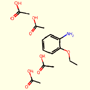 CC(=O)O.CC(=O)O.CC(=O)O.CC(=O)O.CCOc1ccccc1N